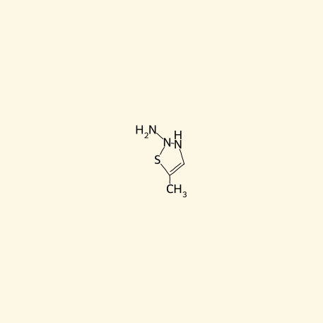 CC1=CNN(N)S1